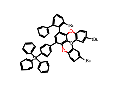 CC(C)(C)c1ccc2c(c1)B1c3cc(C(C)(C)C)ccc3Oc3c(-c4c(-c5ccccc5)cccc4C(C)(C)C)cc(-c4ccc([Si](c5ccccc5)(c5ccccc5)c5ccccc5)cc4)c(c31)O2